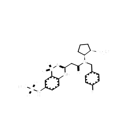 CCOC(=O)[C@@H]1CCC[C@@H]1N(Cc1ccc(F)cc1)C(=O)CC1=NS(=O)(=O)c2cc(NS(C)(=O)=O)ccc2N1